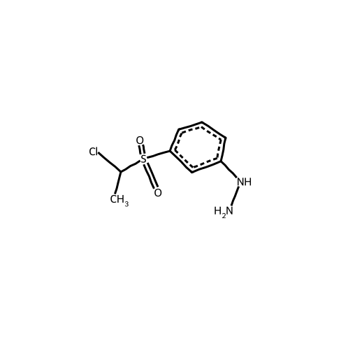 CC(Cl)S(=O)(=O)c1cccc(NN)c1